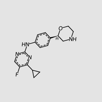 Fc1cnc(Nc2ccc([C@@H]3CNCCO3)cc2)nc1C1CC1